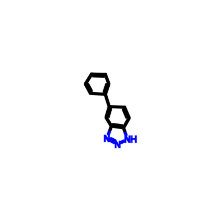 c1ccc(-c2ccc3[nH]nnc3c2)cc1